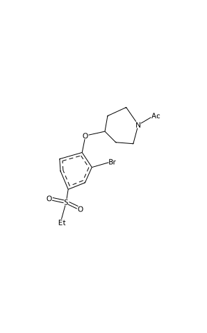 CCS(=O)(=O)c1ccc(OC2CCN(C(C)=O)CC2)c(Br)c1